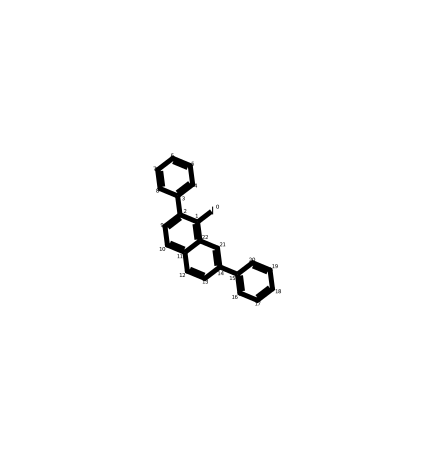 Ic1c(-c2ccccc2)ccc2ccc(-c3ccccc3)cc12